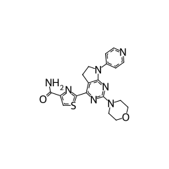 NC(=O)c1csc(-c2nc(N3CCOCC3)nc3c2CCN3c2ccncc2)n1